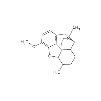 COc1ccc2c3c1OC1C(C)CCC4C(C2)N(C)CC[C@]341